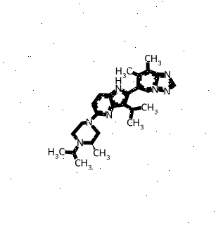 Cc1c(-c2[nH]c3ccc(N4CCN(C(C)C)[C@@H](C)C4)nc3c2C(C)C)cn2ncnc2c1C